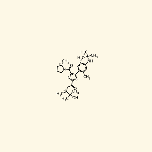 Cc1cc(NC(C)(C)C)ncc1-c1sc(C(=O)C[C@H](C)C(C)(C)O)nc1C(=O)N1CCC[C@@H]1C